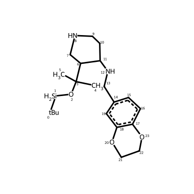 CC(C)(C)[SiH2]OC(C)(C)C1CNCCC1NCc1ccc2c(c1)OCCO2